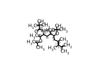 C=C(C)/C(C)=C(\C)CC(OC(C)(C)C)C(C)CC(NC(=O)C(C)(C)C)C(C)OC(C)C